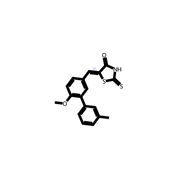 COc1ccc(/C=C2\SC(=S)NC2=O)cc1-c1cccc(C)c1